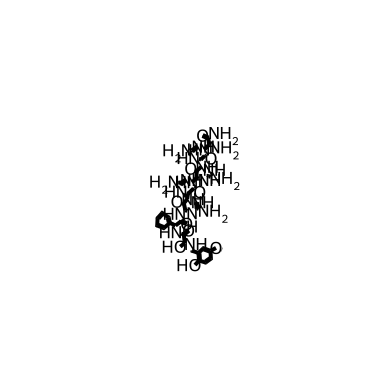 COc1ccc(O)c(CNC(O)C(=O)NC(C(=O)NC(NC(=N)N)C(=O)NC(NC(=N)N)C(=O)NC(NC(=N)N)C(=O)NC(NC(=N)N)C(=O)NC(N)C(N)=O)c2ccccc2)c1